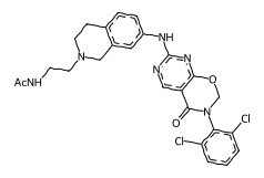 CC(=O)NCCN1CCc2ccc(Nc3ncc4c(n3)OCN(c3c(Cl)cccc3Cl)C4=O)cc2C1